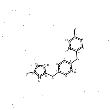 Cc1ccc(Cc2ccc(Cc3nc(C)cs3)cn2)nc1